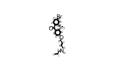 C=CCN(C)C/C=C/COc1ccc(C(=O)c2ccc(Br)cc2)c(SC)c1